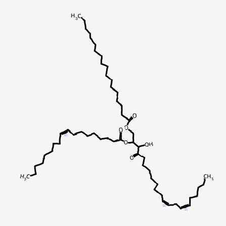 CCCCC/C=C\C/C=C\CCCCCCCC(=O)C(O)C(COC(=O)CCCCCCCCCCCCCCCCC)OC(=O)CCCCCCC/C=C\CCCCCCCC